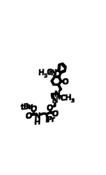 Cc1n(CC2CCc3c(c4ccccc4n3C)C2=O)cc[n+]1COC(=O)C(CNC(=O)OC(C)(C)C)C(C)C